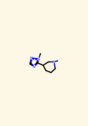 CN1CCCC(c2ncnn2C)C1